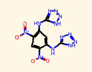 O=[N+]([O-])c1cc([N+](=O)[O-])c(Nc2nnn[nH]2)cc1Nc1nnn[nH]1